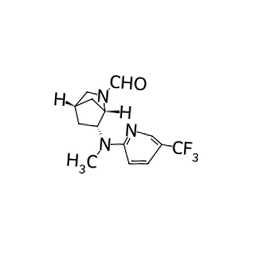 CN(c1ccc(C(F)(F)F)cn1)[C@@H]1C[C@H]2C[C@@H]1N(C=O)C2